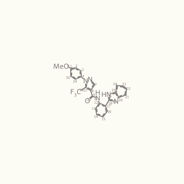 COc1ccc(-n2ncc(C(=O)Nc3ccccc3-c3nc4ccccc4[nH]3)c2C(F)(F)F)cc1